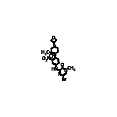 Cn1cc(Br)nc(Nc2ccc(N3CCN(C4COC4)CC3(C)C)c([N+](=O)[O-])c2)c1=O